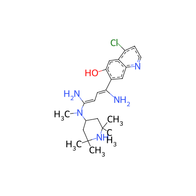 CN(/C(N)=C/C=C(\N)c1cc2nccc(Cl)c2cc1O)C1CC(C)(C)NC(C)(C)C1